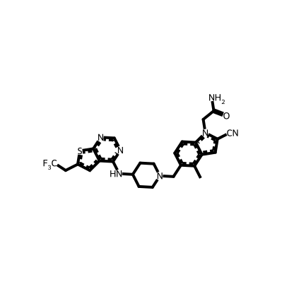 Cc1c(CN2CCC(Nc3ncnc4sc(CC(F)(F)F)cc34)CC2)ccc2c1cc(C#N)n2CC(N)=O